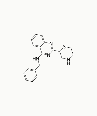 c1ccc(CNc2nc(C3CNCCS3)nc3ccccc23)cc1